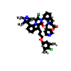 Cc1cc(OCCCc2c3n(c4c(-c5c(C)nn(C)c5C)cccc24)[C@H](C)C(Cl)N(c2cccc4cc(C(=O)O)n(Cc5ccncc5)c24)C3=O)cc(C)c1Cl